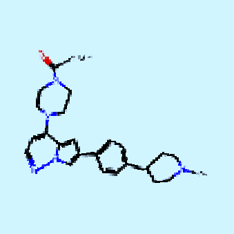 COC(=O)N1CCN(c2ccnn3cc(-c4ccc(C5CCN(C(C)C)CC5)cc4)cc23)CC1